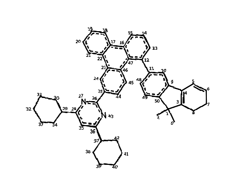 CC1(C)C2=C(C=CCC2)c2cc(-c3cccc4c5ccccc5c5cc(-c6nc(C7CCCCC7)cc(C7CCCCC7)n6)ccc5c34)ccc21